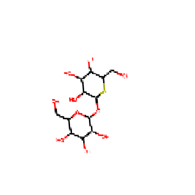 OCC1OC(OC2SC(CO)C(O)C(O)C2O)C(O)C(O)C1O